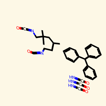 CC(CCN=C=O)CC(C)(C)CN=C=O.N=C=O.N=C=O.N=C=O.c1ccc(C(c2ccccc2)c2ccccc2)cc1